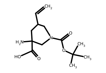 C=CC1CN(C(=O)OC(C)(C)C)CC(N)(C(=O)O)C1